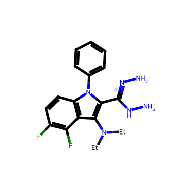 CCN(CC)c1c(/C(=N/N)NN)n(-c2ccccc2)c2ccc(F)c(F)c12